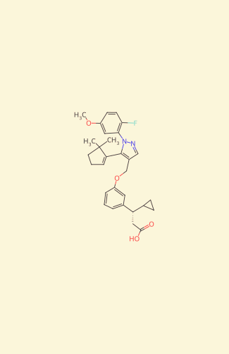 COc1ccc(F)c(-n2ncc(COc3cccc([C@@H](CC(=O)O)C4CC4)c3)c2C2=CCCC2(C)C)c1